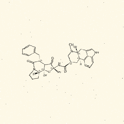 CC(C)[C@@]1(NC(=O)[C@@H]2C[C@@H]3c4cccc5[nH]cc(c45)C[C@H]3N(C)C2)O[C@]2(O)C(C1=O)[C@@H](Cc1ccccc1)C(=O)N1CCC[C@H]12